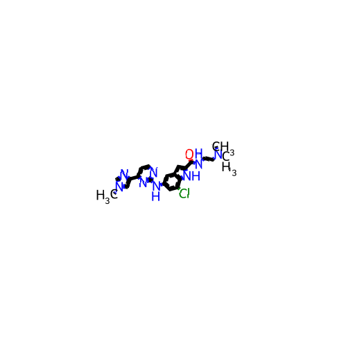 CN(C)CCNC(=O)c1cc2cc(Nc3nccc(-c4cn(C)cn4)n3)cc(Cl)c2[nH]1